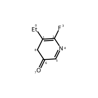 CCC1=C(F)N=CC(=O)C1